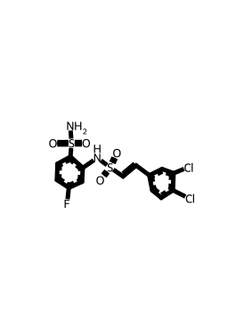 NS(=O)(=O)c1ccc(F)cc1NS(=O)(=O)C=Cc1ccc(Cl)c(Cl)c1